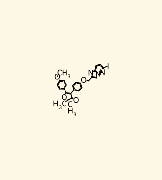 COc1ccc(C2=C(c3ccc(OCc4cn5nc(I)ccc5n4)cc3)C(=O)C(C)(C)O2)cc1